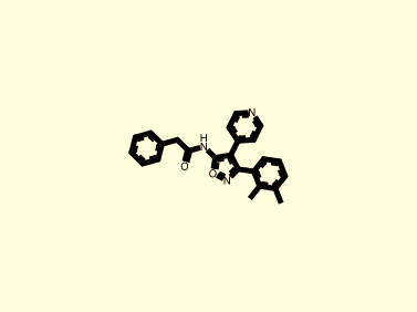 Cc1cccc(-c2noc(NC(=O)Cc3ccccc3)c2-c2ccncc2)c1C